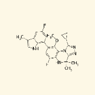 COc1c(-c2cc(F)cc3c(C)c[nH]c23)cc(F)c2c1-n1c(C3CC3)nnc1C(C)(C)N2